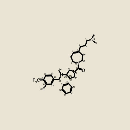 CN(C)CCCC1=CCCN(C(=O)N2C[C@H](c3ccccc3)[C@@H](N(C)Cc3ccc(C(F)(F)F)c(F)c3)C2)CC1